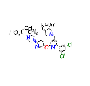 CC(=O)NCC1CCN(Cc2cc(Oc3ccc(N4CCN(CC(C)(C)C(=O)O)CC4)nc3)nc(-c3cc(Cl)cc(Cl)c3)c2)CC1